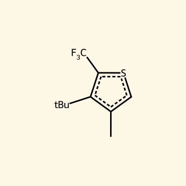 Cc1csc(C(F)(F)F)c1C(C)(C)C